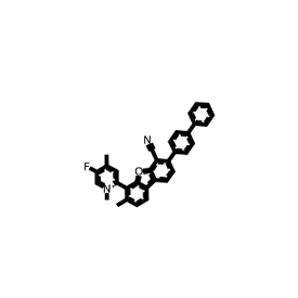 Cc1cc(-c2c(C)ccc3c2oc2c(C#N)c(-c4ccc(-c5ccccc5)cc4)ccc23)[n+](C)cc1F